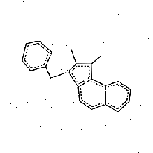 Cc1c(C)n(Cc2ccccc2)c2ccc3ccccc3c12